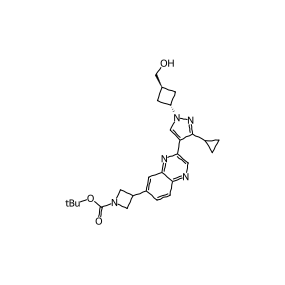 CC(C)(C)OC(=O)N1CC(c2ccc3ncc(-c4cn([C@H]5C[C@H](CO)C5)nc4C4CC4)nc3c2)C1